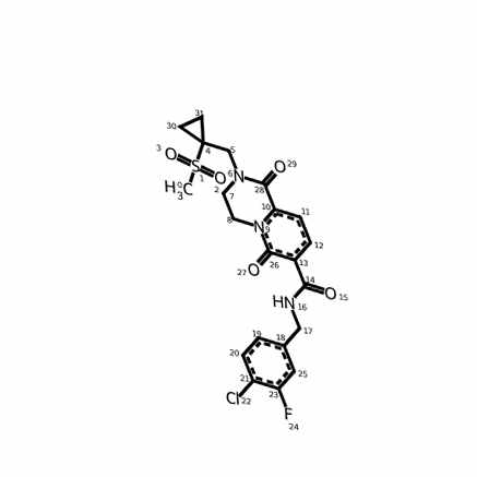 CS(=O)(=O)C1(CN2CCn3c(ccc(C(=O)NCc4ccc(Cl)c(F)c4)c3=O)C2=O)CC1